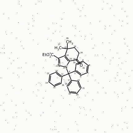 CCOC(=O)c1nn(C(c2ccccc2)(c2ccccc2)c2ccccc2)c2c1C(C)(C)CCC2=O